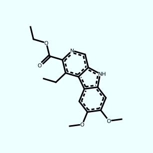 CCOC(=O)c1ncc2[nH]c3cc(OC)c(OC)cc3c2c1CC